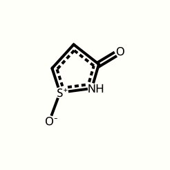 O=c1cc[s+]([O-])[nH]1